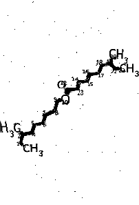 CCC(C)CCCCCCOC(=O)CCCCCCC(C)CC